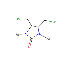 CC(=O)N1C(=O)N(C(C)=O)C(CBr)C1CBr